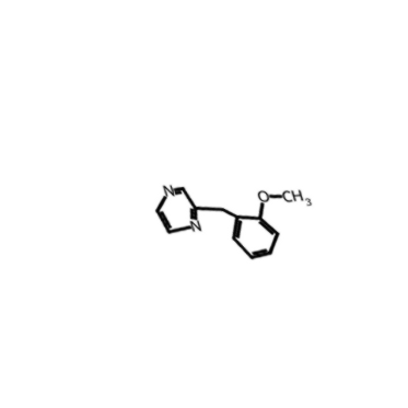 COc1ccccc1Cc1cnccn1